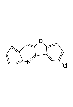 Clc1ccc2oc3cc4ccccc4nc3c2c1